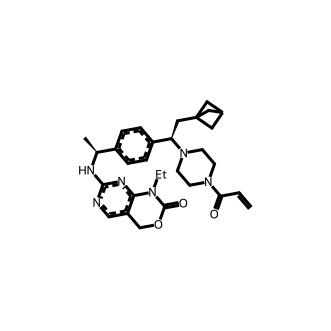 C=CC(=O)N1CCN([C@H](CC23CC(C2)C3)c2ccc([C@H](C)Nc3ncc4c(n3)N(CC)C(=O)OC4)cc2)CC1